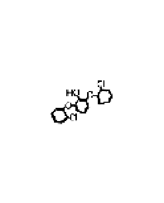 Oc1c(Oc2ccccc2Cl)cccc1Oc1ccccc1Cl